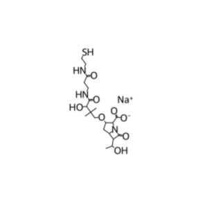 CC(O)C1C(=O)N2C1CC(OCC(C)(C)C(O)C(=O)NCCC(=O)NCCS)C2C(=O)[O-].[Na+]